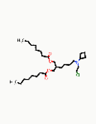 CCCCCCCC(=O)OCC(CCCCN(CCCl)C1CCC1)COC(=O)CCCCCCC